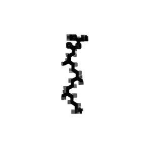 CCC(O)OC(=O)CC=C(C)CCCC(C)CCCC(C)CCCC(C)C